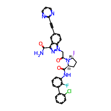 NC(=O)c1nn(CC(=O)N2[C@H](I)CC[C@H]2C(=O)Nc2cccc(-c3ccccc3Cl)c2F)c2ccc(C#Cc3ncccn3)cc12